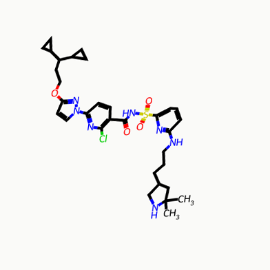 CC1(C)CC(CCCNc2cccc(S(=O)(=O)NC(=O)c3ccc(-n4ccc(OCCC(C5CC5)C5CC5)n4)nc3Cl)n2)CN1